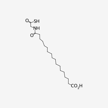 O=C(O)CCCCCCCCCCCCCCCCC(=O)NCC(=O)S